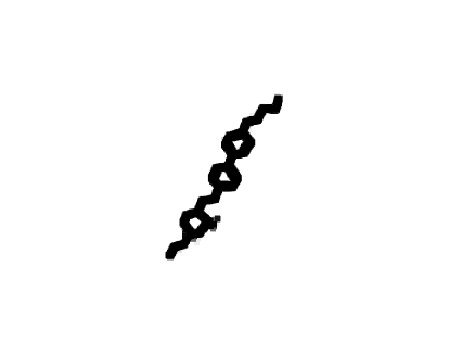 CCCCCc1ccc(-c2ccc(CCC3CC[C@H](CCC)C[C@H]3C)cc2)cc1